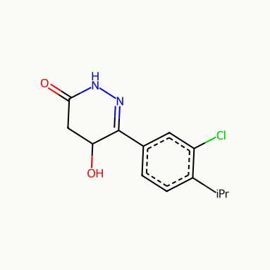 CC(C)c1ccc(C2=NNC(=O)CC2O)cc1Cl